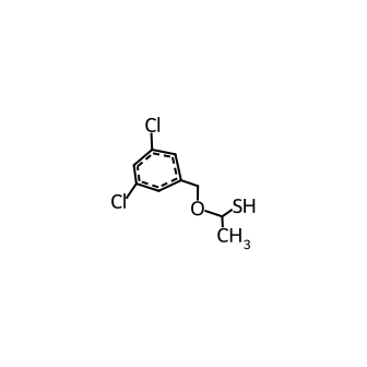 CC(S)OCc1cc(Cl)cc(Cl)c1